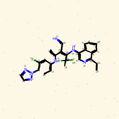 C=C(NC(/C=C(/F)Cn1nccn1)=C/C)/C(C=N)=C(/Nc1cnc(CC)c2ccccc12)C(C)(F)F